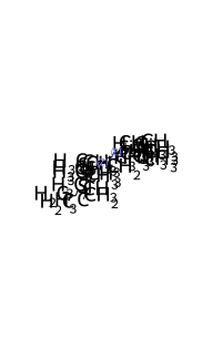 C=CC(=C)CCC(C(=C)C)[Si](C)(C)CC[Si](C)(C)N([Si](C)(C)C)[Si](C)(C)C/C=C(\C=C)CC/C=C(\C)C[Si](C)(C)CC[Si](C)(C)N([Si](C)(C)C)[Si](C)(C)C